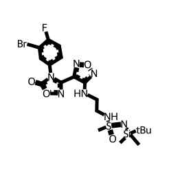 CC(C)(C)[Si](C)(C)N=S(C)(=O)NCCNc1nonc1-c1noc(=O)n1-c1ccc(F)c(Br)c1